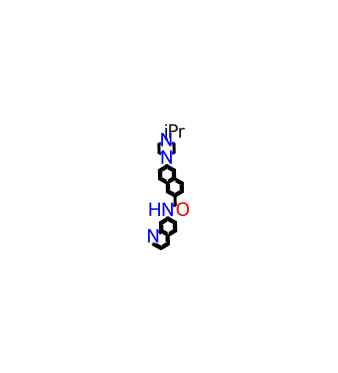 CC(C)N1CCN(c2ccc3cc(C(=O)Nc4ccc5cccnc5c4)ccc3c2)CC1